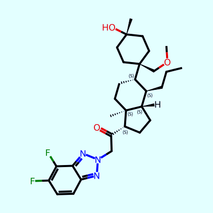 CCC[C@H]1[C@@H]2CC[C@H](C(=O)Cn3nc4ccc(F)c(F)c4n3)[C@@]2(C)CC[C@@H]1[C@]1(COC)CC[C@](C)(O)CC1